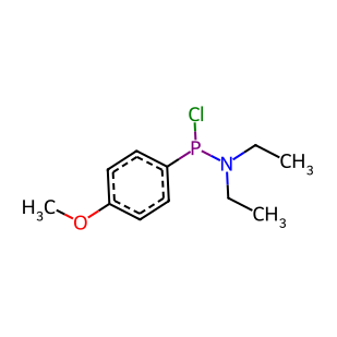 CCN(CC)P(Cl)c1ccc(OC)cc1